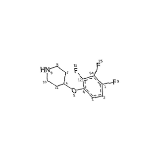 Fc1ccc(OC2CCNCC2)c(F)c1F